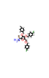 Cc1ccc(CO[C@@H]2[C@H](OCc3ccc(F)cc3)[C@@H](COCc3ccc(F)cc3)O[C@H]2C(N)=S)cc1